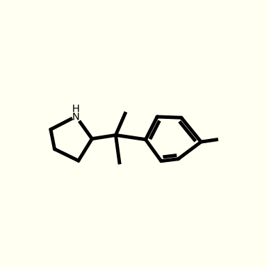 Cc1ccc(C(C)(C)C2CCCN2)cc1